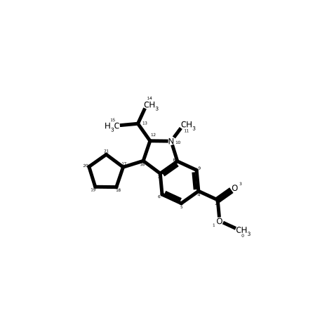 COC(=O)c1ccc2c(c1)N(C)C(C(C)C)C2C1CCCC1